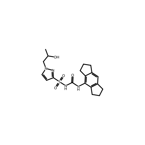 CC(O)Cn1ccc(S(=O)(=O)NC(=O)Nc2c3c(cc4c2CCC4)CCC3)n1